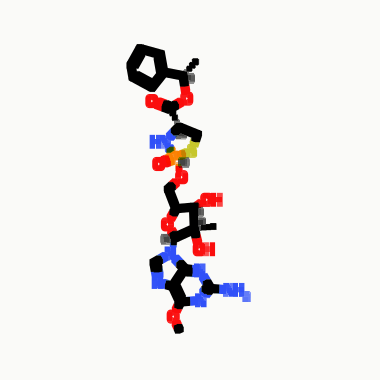 COc1nc(N)nc2c1ncn2[C@@H]1OC(CO[P@]2(=O)N[C@H](C(=O)O[C@@H](C)c3ccccc3)CS2)[C@@H](O)[C@@]1(C)O